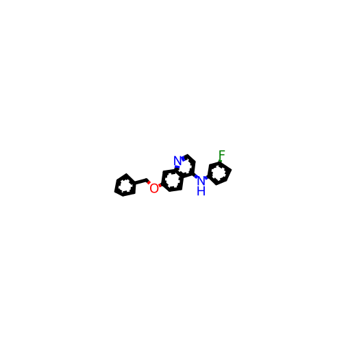 Fc1cccc(Nc2ccnc3cc(OCc4ccccc4)ccc23)c1